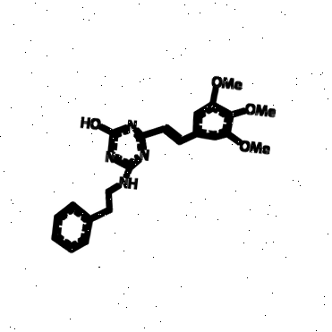 COc1cc(/C=C/c2nc(O)nc(NCCc3ccccc3)n2)cc(OC)c1OC